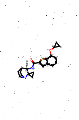 O=C(N[C@H]1C2CCN(CC2)C12CC2)c1cc2cccc(OC3CC3)c2s1